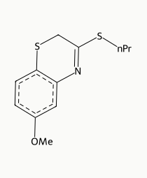 CCCSC1=Nc2cc(OC)ccc2SC1